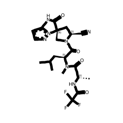 CC(C)C[C@@H](C(=O)N1C[C@]2(C[C@H]1C#N)C(=O)Nc1ccnn12)N(C)C(=O)[C@H](C)NC(=O)C(F)(F)F